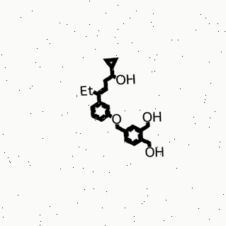 CC/C(=C\CC(O)C1CC1)c1cccc(OCc2ccc(CO)c(CO)c2)c1